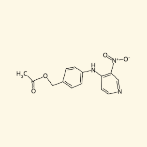 CC(=O)OCc1ccc(Nc2ccncc2[N+](=O)[O-])cc1